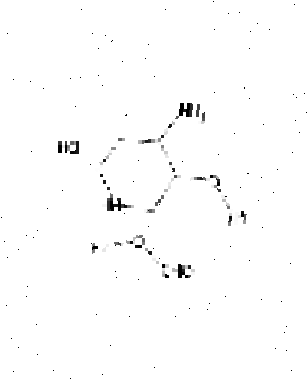 CCCOC1CNCCC1N.CCOC=O.Cl